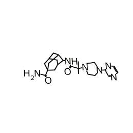 CC(C)(C(=O)NC1C2CC3CC1CC(C(N)=O)(C3)C2)N1CCN(c2cnccn2)CC1